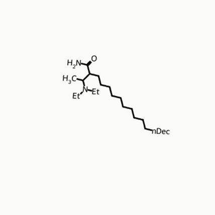 CCCCCCCCCCCCCCCCCCCCC(C(N)=O)C(C)N(CC)CC